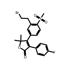 CC1(C)OC(=O)C(c2ccc(F)cc2)=C1c1ccc(S(C)(=O)=O)c(CCBr)c1